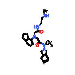 CC(C)NCCNC(=O)CN(CC(=O)N(C)N1Cc2ccccc2C1)c1cccc2c1CCC2